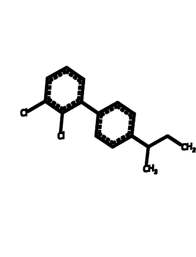 [CH2]CC(C)c1ccc(-c2cccc(Cl)c2Cl)cc1